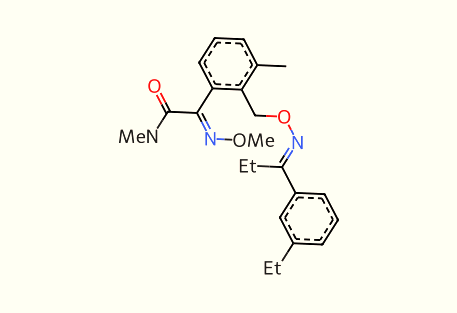 CC/C(=N\OCc1c(C)cccc1/C(=N\OC)C(=O)NC)c1cccc(CC)c1